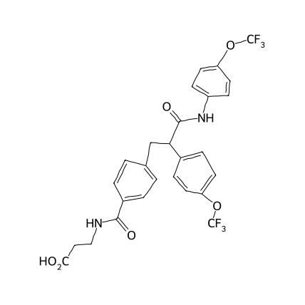 O=C(O)CCNC(=O)c1ccc(CC(C(=O)Nc2ccc(OC(F)(F)F)cc2)c2ccc(OC(F)(F)F)cc2)cc1